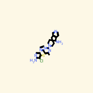 Cc1nc(N2CCC3(CC2)Cc2cnccc2[C@H]3N)n2ccnc2c1Sc1ccnc(N)c1Cl